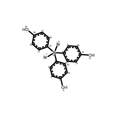 Oc1cc[c]([Bi]([Br])([Br])([c]2ccc(O)cc2)[c]2ccc(O)cc2)cc1